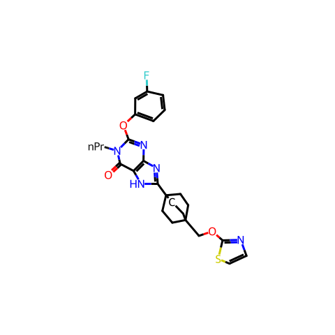 CCCn1c(Oc2cccc(F)c2)nc2nc(C34CCC(COc5nccs5)(CC3)CC4)[nH]c2c1=O